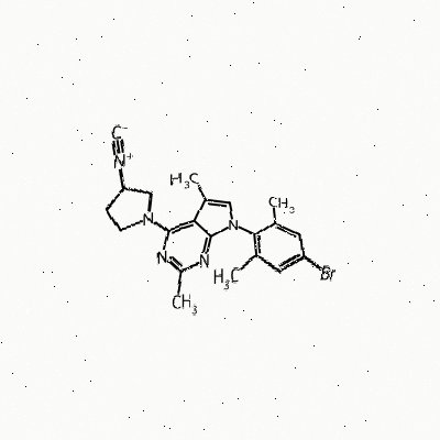 [C-]#[N+]C1CCN(c2nc(C)nc3c2c(C)cn3-c2c(C)cc(Br)cc2C)C1